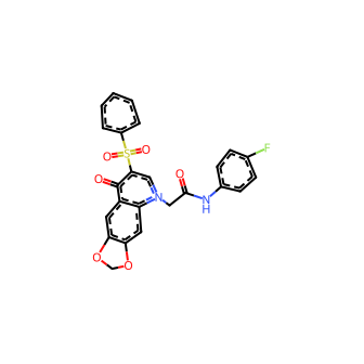 O=C(Cn1cc(S(=O)(=O)c2ccccc2)c(=O)c2cc3c(cc21)OCO3)Nc1ccc(F)cc1